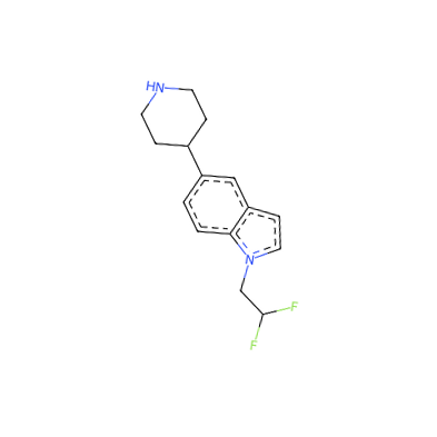 FC(F)Cn1ccc2cc(C3CCNCC3)ccc21